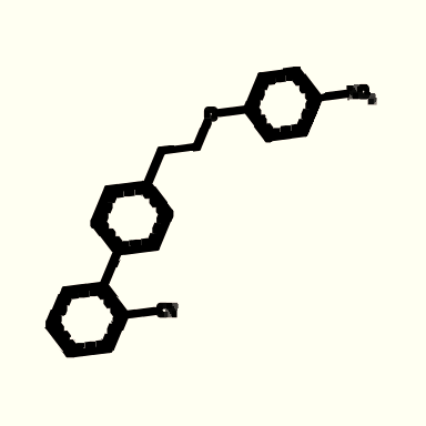 N#Cc1ccccc1-c1ccc(CCOc2ccc([N+](=O)[O-])cc2)cc1